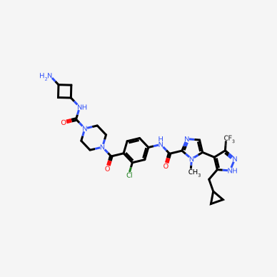 Cn1c(-c2c(C(F)(F)F)n[nH]c2CC2CC2)cnc1C(=O)Nc1ccc(C(=O)N2CCN(C(=O)NC3CC(N)C3)CC2)c(Cl)c1